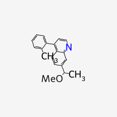 COC(C)c1ccc2c(-c3ccccc3C)ccnc2c1